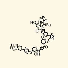 Cc1ncsc1-c1ccc(CNC(=O)[C@@H]2C[C@@H](O)CN2C(=O)[C@@H](NC(=O)C2(F)CC2)C(C)(C)C)c(OC2CCC(C(=O)N3CC(Nc4nccc(Sc5cnc(N6CCC(C)(N)CC6)cn5)c4Cl)C3)CC2)c1